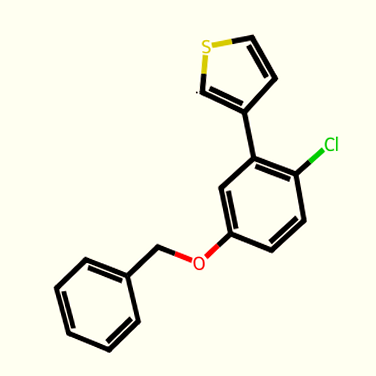 Clc1ccc(OCc2ccccc2)cc1-c1[c]scc1